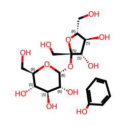 OC[C@H]1O[C@@](CO)(O[C@H]2O[C@H](CO)[C@@H](O)[C@H](O)[C@H]2O)[C@@H](O)[C@@H]1O.Oc1ccccc1